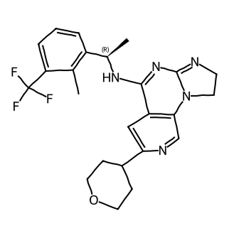 Cc1c([C@@H](C)NC2=NC3=NCCN3c3cnc(C4CCOCC4)cc32)cccc1C(F)(F)F